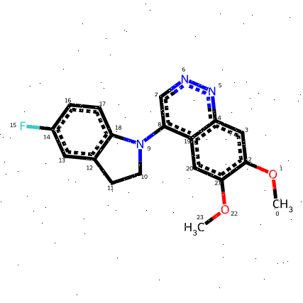 COc1cc2nncc(N3CCc4cc(F)ccc43)c2cc1OC